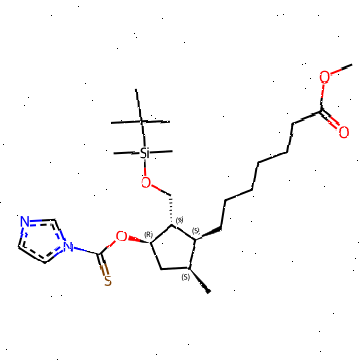 COC(=O)CCCCCC[C@@H]1[C@@H](CO[Si](C)(C)C(C)(C)C)[C@H](OC(=S)n2ccnc2)C[C@@H]1C